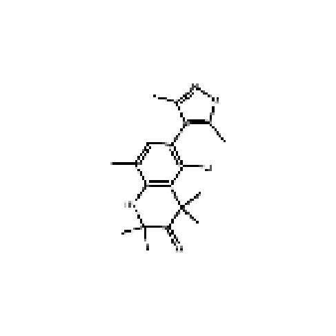 Cc1cc(-c2c(C)noc2C)c(Cl)c2c1NC(C)(C)C(=O)C2(C)C